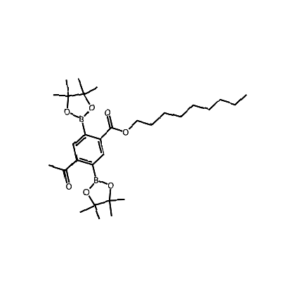 CCCCCCCCCOC(=O)c1cc(B2OC(C)(C)C(C)(C)O2)c(C(C)=O)cc1B1OC(C)(C)C(C)(C)O1